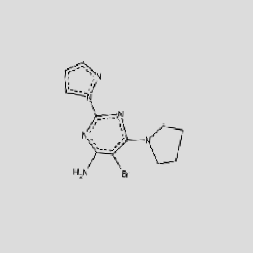 Nc1nc(-n2cccn2)nc(N2[CH]CCC2)c1Br